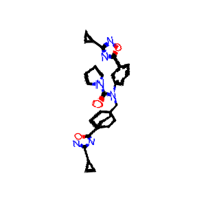 O=C(N1CCCC1)N(CC12CCC(c3nc(C4CC4)no3)(CC1)CC2)c1cccc(-c2nc(C3CC3)no2)c1